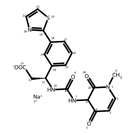 CN1C=CC(=O)C(NC(=O)N[C@@H](CC(=O)[O-])c2cccc(-c3nccs3)c2)C1=O.[Na+]